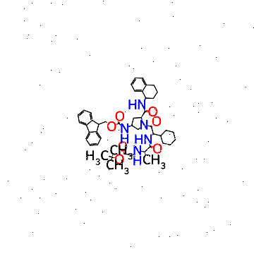 C[C@H](NCC(=O)OC(C)(C)C)C(=O)N[C@H](C(=O)N1C[C@@H](NC(=O)OCC2c3ccccc3-c3ccccc32)C[C@H]1C(=O)N[C@@H]1CCCc2ccccc21)C1CCCCC1